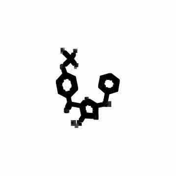 Nc1nc(Nc2ccccc2)sc1C(=O)c1ccc(OC(F)(F)F)cc1